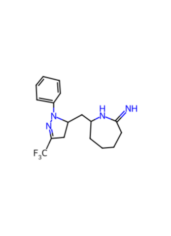 N=C1CCCCC(CC2CC(C(F)(F)F)=NN2c2ccccc2)N1